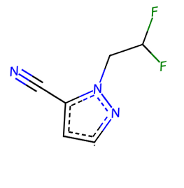 N#Cc1c[c]nn1CC(F)F